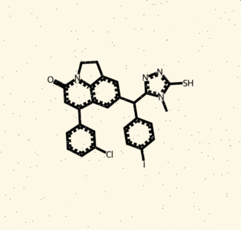 Cn1c(S)nnc1C(c1ccc(I)cc1)c1cc2c3c(c1)c(-c1cccc(Cl)c1)cc(=O)n3CC2